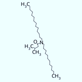 CCCCCCCCCCCCCCN(CCCCCCCCCCCC)C(=O)CC(C)C